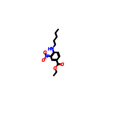 CCCCCNc1ccc(C(=O)OCC)cc1[N+](=O)[O-]